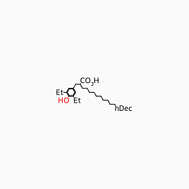 CCCCCCCCCCCCCCCCCCCCC(Cc1cc(CC)c(O)c(CC)c1)C(=O)O